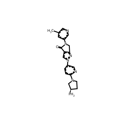 Cc1cncc(N2Cc3nn(-c4ccc(N5CC[C@@H](P)C5)nc4)cc3C2=O)c1